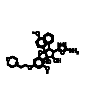 COc1ccc(C23Oc4cc(OCCN5CCOCC5)cc(OC)c4C2(O)C(O)C(c2nnc(N)o2)C3c2ccccc2)cc1